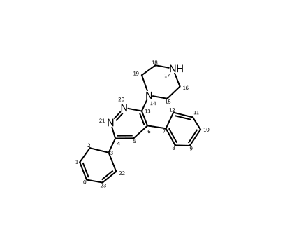 C1=CCC(c2cc(-c3ccccc3)c(N3CCNCC3)nn2)C=C1